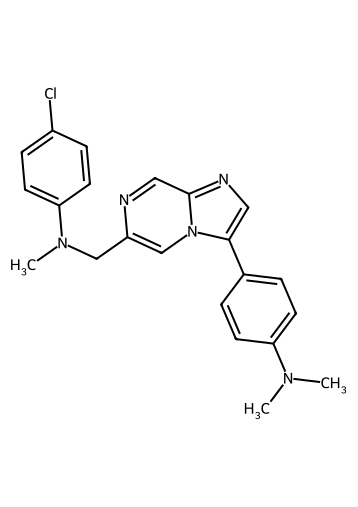 CN(C)c1ccc(-c2cnc3cnc(CN(C)c4ccc(Cl)cc4)cn23)cc1